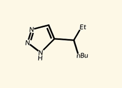 CCCCC(CC)c1cnn[nH]1